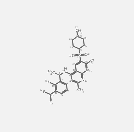 Cc1nc(N[C@H](C)c2cccc(C(F)F)c2F)c2cc(S(=O)(=O)C3CCN(C)CC3)c(Cl)nc2n1